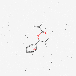 C=C(C)C(=O)OC(c1cc2ccc1o2)C(C)C